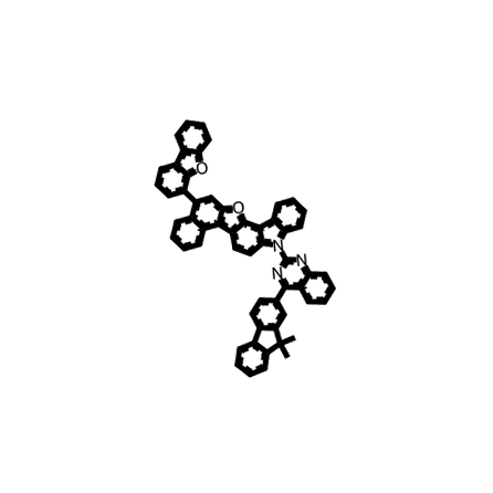 CC1(C)c2ccccc2-c2ccc(-c3nc(-n4c5ccccc5c5c6oc7cc(-c8cccc9c8oc8ccccc89)c8ccccc8c7c6ccc54)nc4ccccc34)cc21